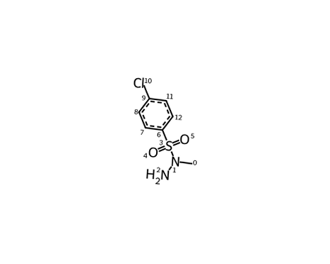 CN(N)S(=O)(=O)c1ccc(Cl)cc1